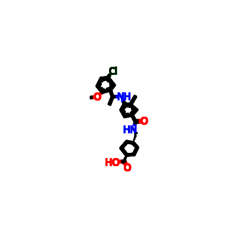 COc1ccc(Cl)cc1C(C)Nc1ccc(C(=O)NC[C@H]2CC[C@H](C(=O)O)CC2)cc1C